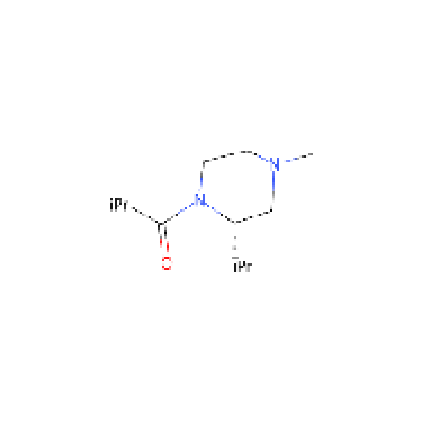 CC(C)C(=O)N1CCN(C)C[C@@H]1C(C)C